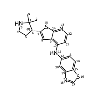 CC1(C)NCC[C@H]1c1cc2c(Nc3ccc4scnc4c3)ccnc2s1